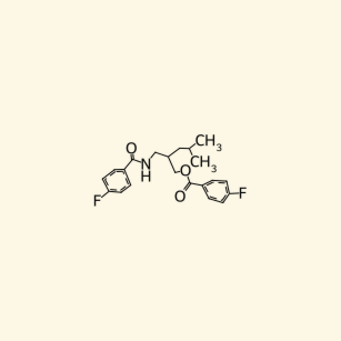 CC(C)CC(CNC(=O)c1ccc(F)cc1)COC(=O)c1ccc(F)cc1